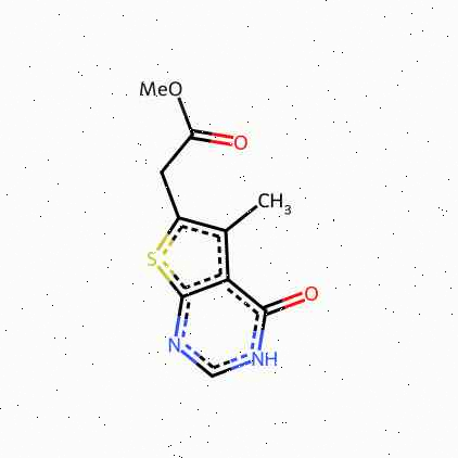 COC(=O)Cc1sc2nc[nH]c(=O)c2c1C